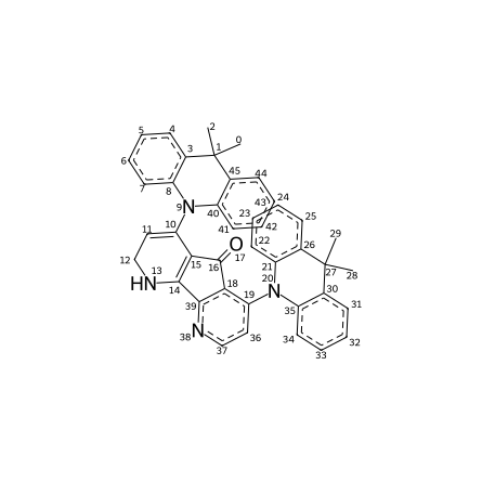 CC1(C)c2ccccc2N(C2=CCNC3=C2C(=O)c2c(N4c5ccccc5C(C)(C)c5ccccc54)ccnc23)c2ccccc21